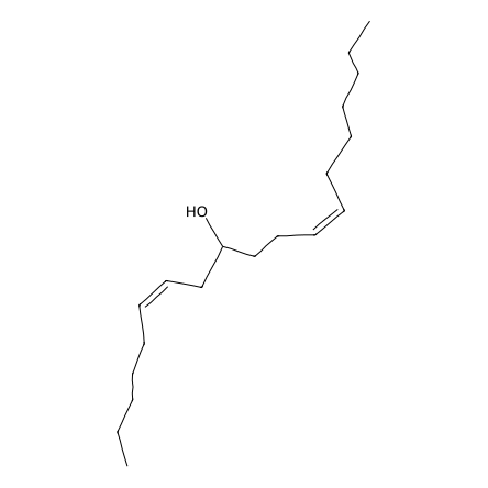 CCCCC/C=C\CC(O)CC/C=C\CCCCCC